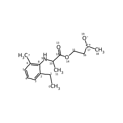 CCc1cccc(C)c1NC(C)C(=O)OCC[S+](C)[O-]